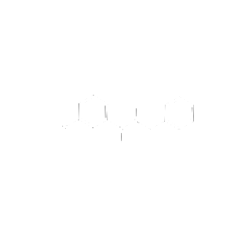 CCOC(=O)N(c1cccc(N)c1)N(F)Cc1ccccc1